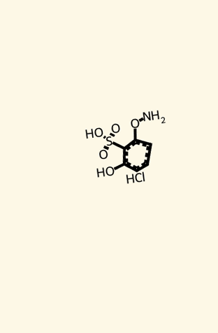 Cl.NOc1cccc(O)c1S(=O)(=O)O